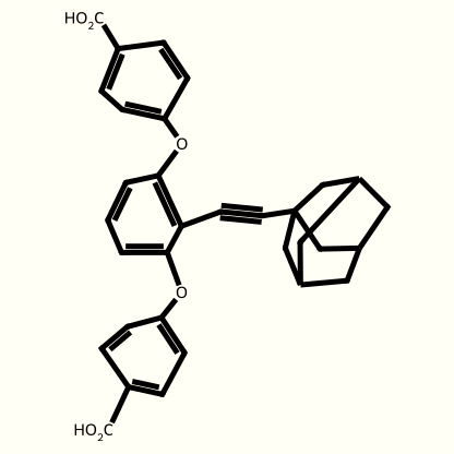 O=C(O)c1ccc(Oc2cccc(Oc3ccc(C(=O)O)cc3)c2C#CC23CC4CC(CC(C4)C2)C3)cc1